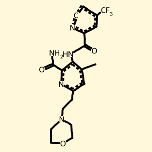 Cc1cc(CCN2CCOCC2)nc(C(N)=O)c1NC(=O)c1cc(C(F)(F)F)ccn1